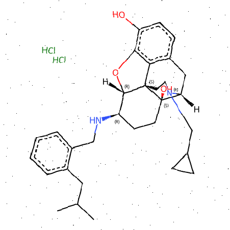 CC(C)Cc1ccccc1CN[C@@H]1CC[C@@]2(O)[C@H]3Cc4ccc(O)c5c4[C@@]2(CCN3CC2CC2)[C@H]1O5.Cl.Cl